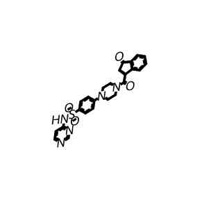 O=C1CC(C(=O)N2CCN(c3ccc(S(=O)(=O)Nc4ccncn4)cc3)CC2)c2ccccc21